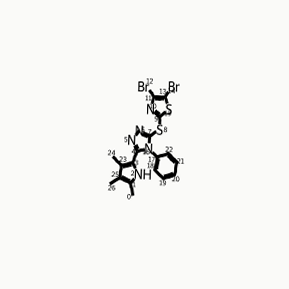 Cc1[nH]c(-c2nnc(Sc3nc(Br)c(Br)s3)n2-c2ccccc2)c(C)c1C